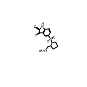 COCC1CCCN1S(=O)(=O)c1ccc2c(c1)C(=O)C(=O)N2